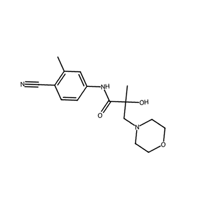 Cc1cc(NC(=O)C(C)(O)CN2CCOCC2)ccc1C#N